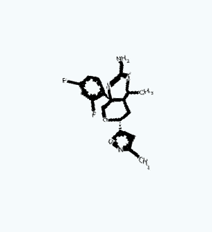 Cc1cc([C@H]2CC3C(C)SC(N)=N[C@@]3(c3ccc(F)cc3F)CO2)on1